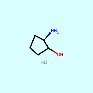 Cl.N[C@@H]1CCCC1O